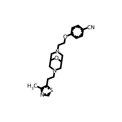 Cc1ncsc1CCN1CC2CN(CCOc3ccc(C#N)cc3)CC(C1)O2